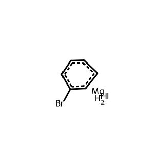 Brc1ccccc1.I.[MgH2]